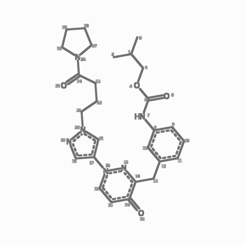 CC(C)COC(=O)Nc1cccc(Cc2nn(-c3cnn(CCCC(=O)N4CCCC4)c3)ccc2=O)c1